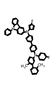 Cc1ccccc1-c1cc(N(c2ccc(F)cc2)c2ccc(-c3ccc(N(C4=C=C(F)C=C4)c4ccc5c(c4)c4ccccc4n5-c4ccccc4)cc3)cc2)ccc1C